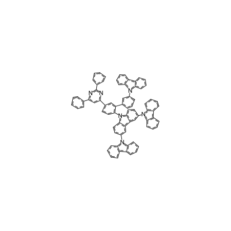 c1ccc(-c2cc(-c3ccc(-n4c5ccc(-n6c7ccccc7c7ccccc76)cc5c5cc(-n6c7ccccc7c7ccccc76)ccc54)c(-c4cccc(-n5c6ccccc6c6ccccc65)c4)c3)nc(-c3ccccc3)n2)cc1